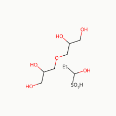 CCC(O)S(=O)(=O)O.OCC(O)COCC(O)CO